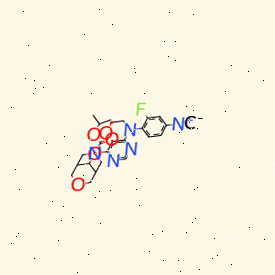 [C-]#[N+]c1ccc(N2CCOc3c(OC4C5COCC4CN(C(=O)OC(C)C)C5)ncnc32)c(F)c1